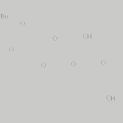 C=CC(=O)OC(C)OC(=O)C(=O)OCCCC